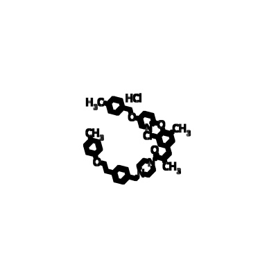 CC(=Cc1cc(C)c(Oc2ccc(OCc3ccc(C)cc3)cn2)c(Cl)c1)C(=O)N1CCN(Cc2ccc(CCOc3ccc(C)cc3)cc2)CC1.Cl